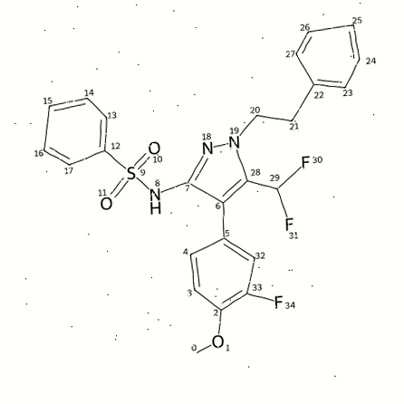 COc1ccc(-c2c(NS(=O)(=O)c3ccccc3)nn(CCc3ccccc3)c2C(F)F)cc1F